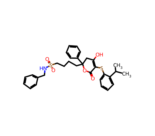 CC(C)c1ccccc1SC1=C(O)CC(CCCCS(=O)(=O)NCc2ccccc2)(c2ccccc2)OC1=O